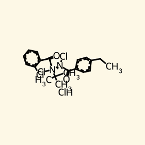 CCc1ccc(C(=O)N(Cl)[N+](Cl)(C(=O)c2ccccc2Cl)C(C)(C)C)cc1.Cl